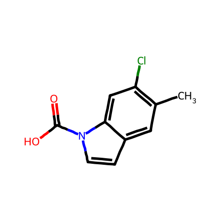 Cc1cc2ccn(C(=O)O)c2cc1Cl